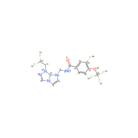 O=C(NCN1C=CN2C=NN(CC(F)F)C21)c1ccc(OC(F)(F)F)c(F)c1